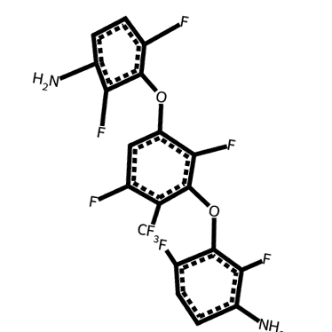 Nc1ccc(F)c(Oc2cc(F)c(C(F)(F)F)c(Oc3c(F)ccc(N)c3F)c2F)c1F